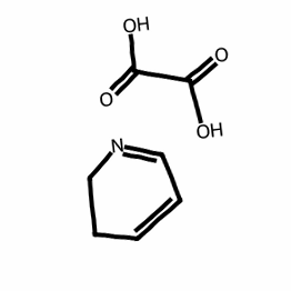 C1=CCCN=C1.O=C(O)C(=O)O